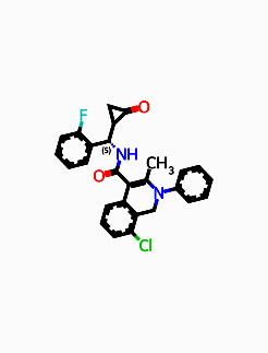 CC1=C(C(=O)N[C@H](c2ccccc2F)C2CC2=O)c2cccc(Cl)c2CN1c1ccccc1